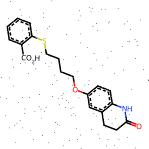 O=C1CCc2cc(OCCCCSc3ccccc3C(=O)O)ccc2N1